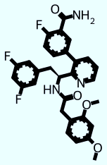 COc1ccc(CC(=O)N[C@@H](Cc2cc(F)cc(F)c2)c2ncccc2-c2ccc(F)c(C(N)=O)c2)c(OC)c1